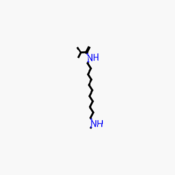 C=C(NCCCCCCCCCCCNC)C(C)C